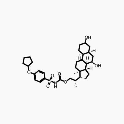 C[C@H](COC(=O)NS(=O)(=O)c1ccc(OC2CCCC2)cc1)[C@H]1CC[C@H]2[C@@H]3[C@H](O)C[C@@H]4C[C@H](O)CC[C@]4(C)[C@H]3CC[C@]12C